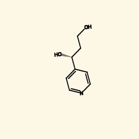 OCC[C@@H](O)c1ccncc1